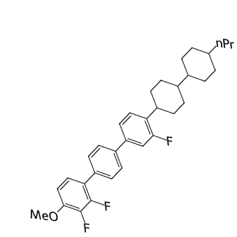 CCCC1CCC(C2CCC(c3ccc(-c4ccc(-c5ccc(OC)c(F)c5F)cc4)cc3F)CC2)CC1